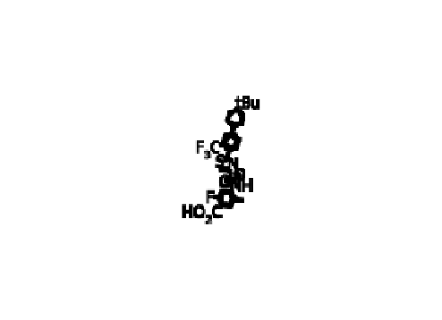 Cc1cc(C(=O)O)c(F)cc1NS(=O)(=O)c1csc(-c2ccc(C3CCC(C(C)(C)C)CC3)cc2C(F)(F)F)n1